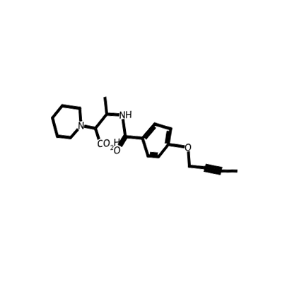 CC#CCOc1ccc(C(=O)NC(C)C(C(=O)O)N2CCCCC2)cc1